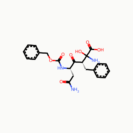 NC(=O)C[C@H](NC(=O)OCc1ccccc1)C(=O)[C@@H](Cc1ccccc1)C(N)(O)C(=O)O